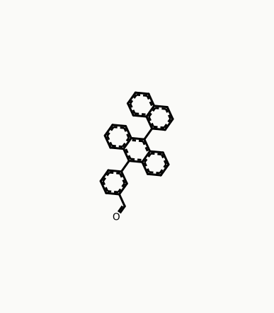 O=Cc1cccc(-c2c3ccccc3c(-c3cccc4ccccc34)c3ccccc23)c1